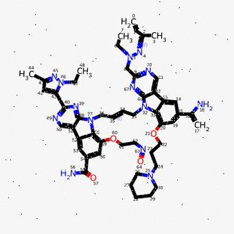 C=C/C(C)=N\N(CC)Cc1ncc2c3cc(C(=C)N)cc(OCCCN4CCCCC4)c3n(C/C=C/Cn3c4nc(-c5cc(C)nn5CC)ncc4c4cc(C(N)=O)cc(OCCN=O)c43)c2n1